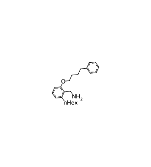 CCCCCCc1cccc(OCCCCc2ccccc2)c1CN